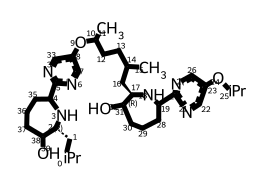 CC(C)C[C@H]1NC(c2ncc(OC(C)CCC(C)C[C@H]3NC(c4ncc(OC(C)C)cn4)CCCC3O)cn2)CCCC1O